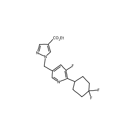 CCOC(=O)c1cnn(Cc2cnc(C3CCC(F)(F)CC3)c(F)c2)c1